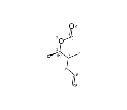 [CH2][C@@H](OC=O)C(C)CC=C